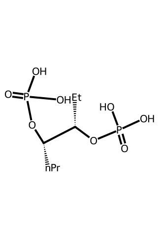 CCC[C@H](OP(=O)(O)O)[C@H](CC)OP(=O)(O)O